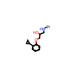 CC(C)NCC(O)COc1ccccc1C1CC1